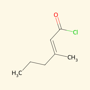 CCCC(C)=CC(=O)Cl